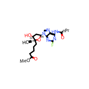 C#C[C@@]1(CCCCC(=O)OC)O[C@@H](n2cnc3c(NC(=O)CCC)nc(F)nc32)C[C@@H]1O